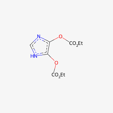 CCOC(=O)Oc1nc[nH]c1OC(=O)OCC